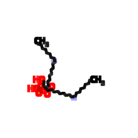 CCCCCCCC/C=C\CCCCCCCC(=O)C(CCO)(OS(=O)(=O)O)C(=O)CCCCCCC/C=C\CCCCCCCC